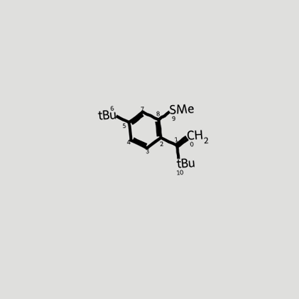 C=C(c1ccc(C(C)(C)C)cc1SC)C(C)(C)C